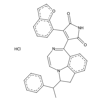 CC(c1ccccc1)C1Cc2cccc3c2N1C=CN=C3C1=C(c2cccc3ccoc23)C(=O)NC1=O.Cl